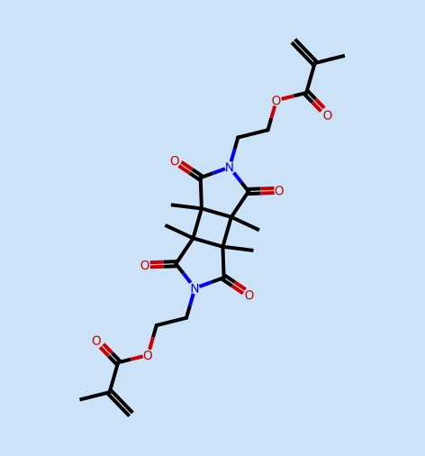 C=C(C)C(=O)OCCN1C(=O)C2(C)C(C)(C1=O)C1(C)C(=O)N(CCOC(=O)C(=C)C)C(=O)C21C